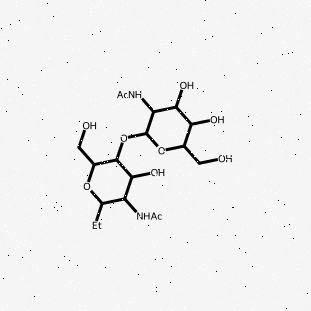 CCC1OC(CO)C(OC2OC(CO)C(O)C(O)C2NC(C)=O)C(O)C1NC(C)=O